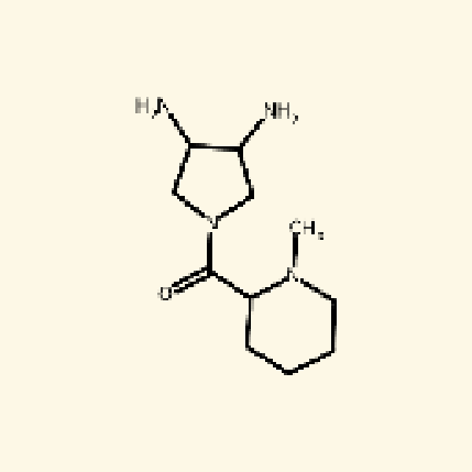 CN1CCCCC1C(=O)N1CC(N)C(N)C1